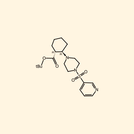 CC(C)(C)OC(=O)[C@@H]1CCCC[C@H]1N1CCN(S(=O)(=O)c2cccnc2)CC1